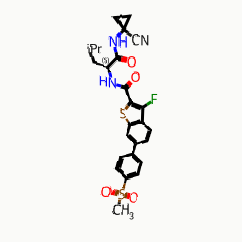 CC(C)C[C@H](NC(=O)c1sc2cc(-c3ccc(S(C)(=O)=O)cc3)ccc2c1F)C(=O)NC1(C#N)CC1